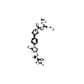 CC(=O)NC[C@H]1CN(c2ccc(C3CCN(C(=O)OC(C)C)C3)cc2)C(=O)O1